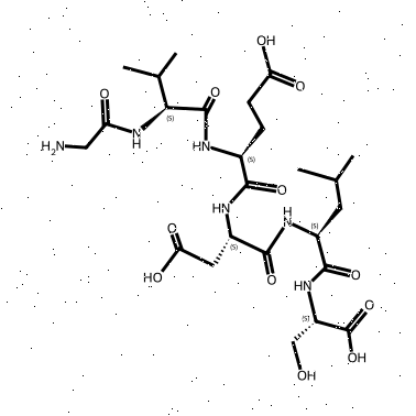 CC(C)C[C@H](NC(=O)[C@H](CC(=O)O)NC(=O)[C@H](CCC(=O)O)NC(=O)[C@@H](NC(=O)CN)C(C)C)C(=O)N[C@@H](CO)C(=O)O